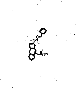 CCOC(=O)CC1=Cc2cc(NC(=O)OCc3ccccc3)ccc2Cc2ccccc21